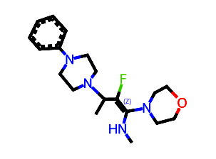 CN/C(=C(/F)C(C)N1CCN(c2ccccc2)CC1)N1CCOCC1